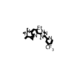 C=C(C1CC1)N(C)N(C)c1cnc(-c2nnc(-c3cc(C(F)(F)F)ccn3)n2C)c(CC)c1